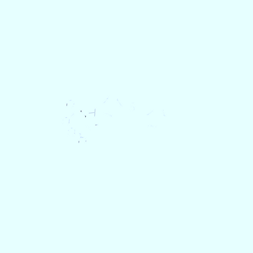 COC(=O)[C@H](Cc1cccc(SCc2ccc(C(C)(C)C)cc2)c1)NC(=O)OC(C)(C)C